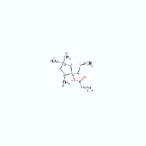 C=CC(=O)OC1(CCC)CC(C)(C)CC1C